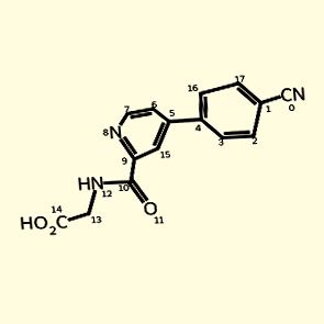 N#Cc1ccc(-c2ccnc(C(=O)NCC(=O)O)c2)cc1